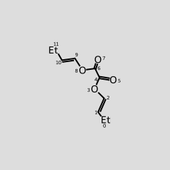 CCC=COC(=O)C(=O)OC=CCC